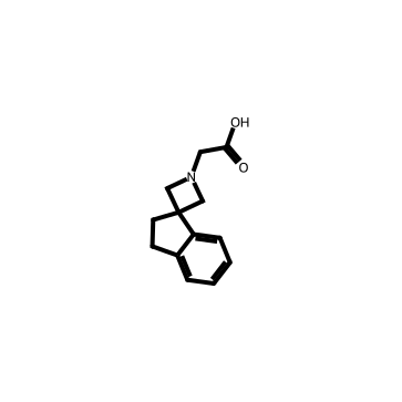 O=C(O)CN1CC2(CCc3ccccc32)C1